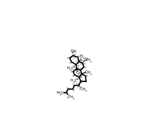 CC(C)CCC[C@H](C)C1CC[C@@]2(C)C3C[C@H](N)[C@@]4(C)C[C@@H](O)CC[C@]4(C)[C@@]3(C)CC[C@]12C